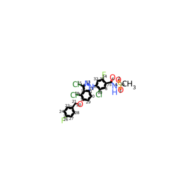 CS(=O)(=O)NC(=O)c1cc(Cl)c(-n2nc(Cl)c3c(Cl)c(OCc4ccc(F)cc4)ccc32)cc1F